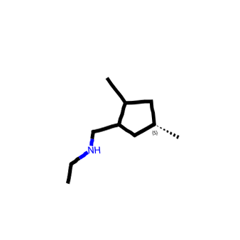 CCNCC1C[C@@H](C)CC1C